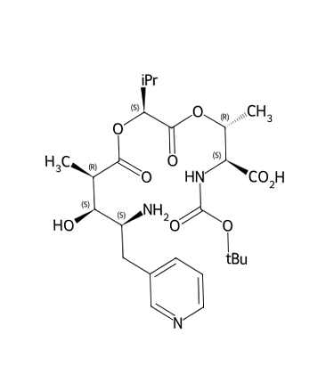 CC(C)[C@H](OC(=O)[C@H](C)[C@H](O)[C@@H](N)Cc1cccnc1)C(=O)O[C@H](C)[C@H](NC(=O)OC(C)(C)C)C(=O)O